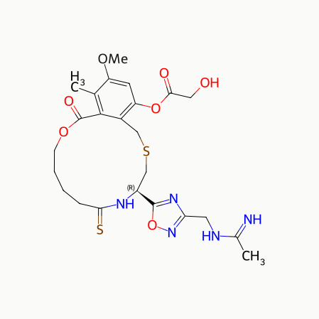 COc1cc(OC(=O)CO)c2c(c1C)C(=O)OCCCCC(=S)N[C@H](c1nc(CNC(C)=N)no1)CSC2